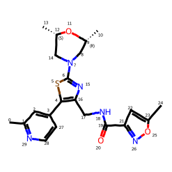 Cc1cc(-c2sc(N3C[C@@H](C)O[C@@H](C)C3)nc2CNC(=O)c2cc(C)on2)ccn1